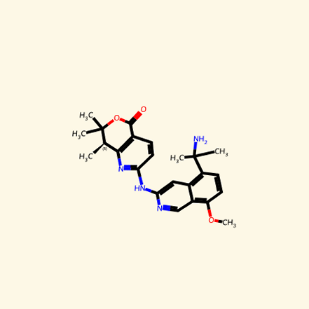 COc1ccc(C(C)(C)N)c2cc(Nc3ccc4c(n3)[C@@H](C)C(C)(C)OC4=O)ncc12